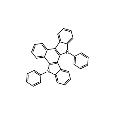 c1ccc(-n2c3ccccc3c3c2c2ccccc2c2c4ccccc4n(-c4ccccc4)c23)cc1